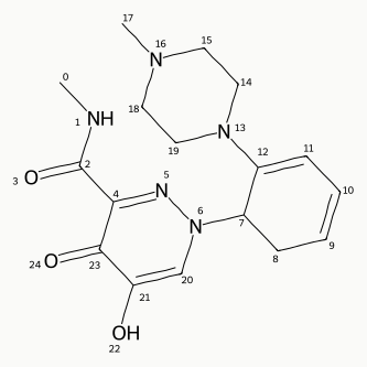 CNC(=O)c1nn(C2CC=CC=C2N2CCN(C)CC2)cc(O)c1=O